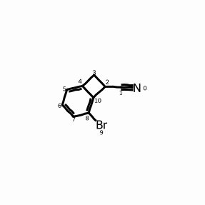 N#CC1Cc2cccc(Br)c21